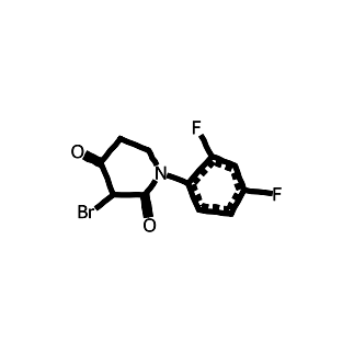 O=C1CCN(c2ccc(F)cc2F)C(=O)C1Br